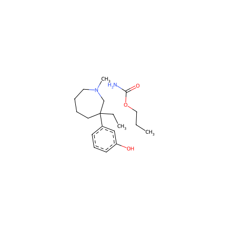 CCC1(c2cccc(O)c2)CCCCN(C)C1.CCCOC(N)=O